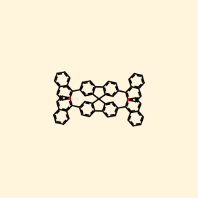 c1ccc2c(-c3ccc4c(c3)C3(c5cc(-c6cccc7ccccc67)ccc5-4)c4cc(-c5cccc6ccccc56)ccc4-c4ccc(-c5cccc6ccccc56)cc43)cccc2c1